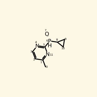 Cc1ccnc([PH](=O)C2CC2)n1